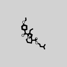 CCOc1ccc(C(=O)c2c(CC)cc3n2CCCC3C(=O)OCCC(C)C)cc1